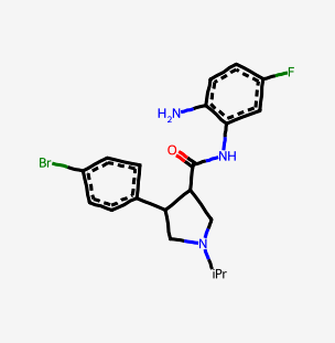 CC(C)N1CC(C(=O)Nc2cc(F)ccc2N)C(c2ccc(Br)cc2)C1